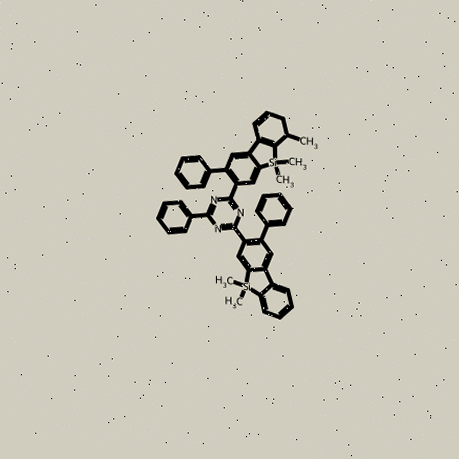 CC1CC=CC2=C1[Si](C)(C)c1cc(-c3nc(-c4ccccc4)nc(-c4cc5c(cc4-c4ccccc4)-c4ccccc4[Si]5(C)C)n3)c(-c3ccccc3)cc12